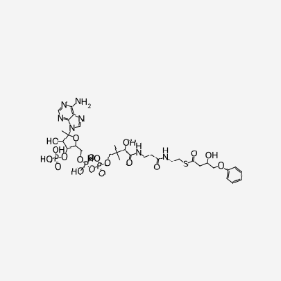 CC(C)(COP(=O)(O)OP(=O)(O)OCC1OC(C)(n2cnc3c(N)ncnc32)C(O)C1OP(=O)(O)O)C(O)C(=O)NCCC(=O)NCCSC(=O)CC(O)COc1ccccc1